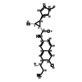 CC[C@H]1[C@@H](C(=O)Nc2cc3cc([C@@H](C)CC#N)c(Cl)cc3cn2)[C@@H]1c1cnn(C)c1